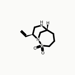 C=C[C@H]1CN[C@@H]2CCCS(=O)(=O)N1C2